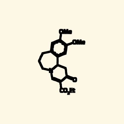 CCOC(=O)C1=CN2CCCc3cc(OC)c(OC)cc3C2CC1=O